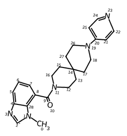 Cn1[c]nc2cccc(C(=O)N3CCC4(CC3)CCN(c3ccncc3)CC4)c21